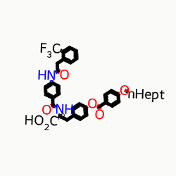 CCCCCCCOc1ccc(C(=O)Oc2ccc(C[C@H](NC(=O)c3ccc(NC(=O)Cc4ccccc4C(F)(F)F)cc3)C(=O)O)cc2)cc1